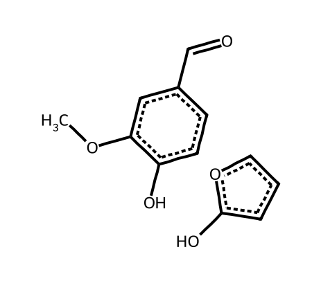 COc1cc(C=O)ccc1O.Oc1ccco1